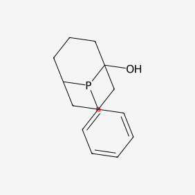 OC12CCCC(CCC1)P2c1ccccc1